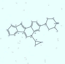 CC1CN(c2ccc3c4nc5ccccc5c-4cn(C4CC4)c3c2)CCN1